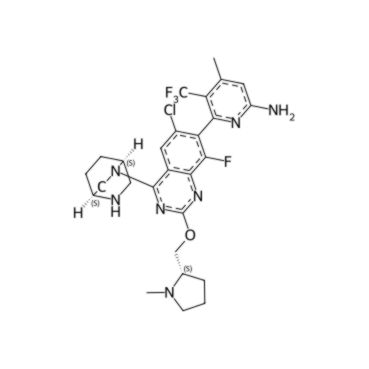 Cc1cc(N)nc(-c2c(Cl)cc3c(N4C[C@@H]5CC[C@H]4CN5)nc(OC[C@@H]4CCCN4C)nc3c2F)c1C(F)(F)F